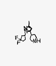 FC1(F)CCC(n2nc(I)cc2C2CCNCC2)C1